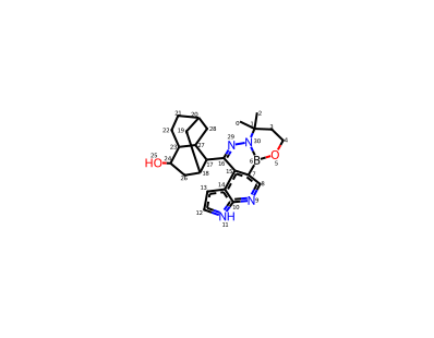 CC1(C)CCOB2c3cnc4[nH]ccc4c3C(C3C4CC5CCC(C(O)C4)C3C5)=NN21